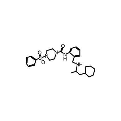 CC(CC1CCCCC1)NCc1ccccc1NC(=O)N1CCN(S(=O)(=O)c2ccccc2)CC1